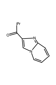 CC(C)C(=O)c1cn2ccccc2n1